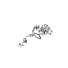 Cc1ccc(CC2CN(c3cccc(CO[Si](C)(C)C(C)(C)C)c3F)C2)cn1